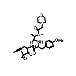 CC#CCC(NC(=O)C(Cc1ccc(OC)cc1)NC(=O)C(C)NC(=O)CN1CCOCC1)C(=O)C1(C)CO1